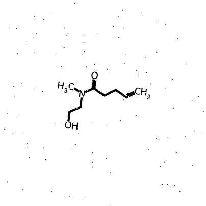 C=CCCC(=O)N(C)CCO